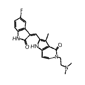 Cc1c(C=C2C(=O)Nc3ccc(F)cc32)[nH]c2ccn(CCN(C)C)c(=O)c12